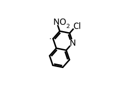 O=[N+]([O-])c1[c]c2ccccc2nc1Cl